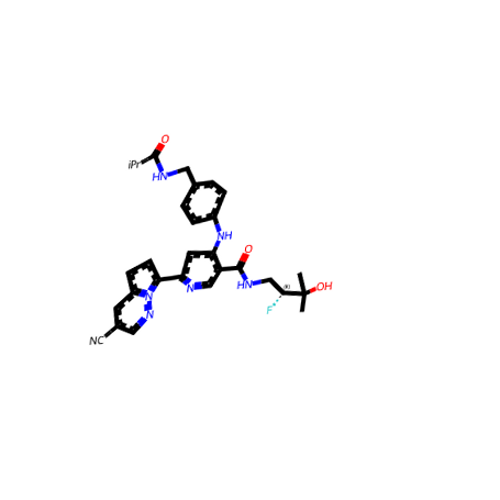 CC(C)C(=O)NCc1ccc(Nc2cc(-c3ccc4cc(C#N)cnn34)ncc2C(=O)NC[C@@H](F)C(C)(C)O)cc1